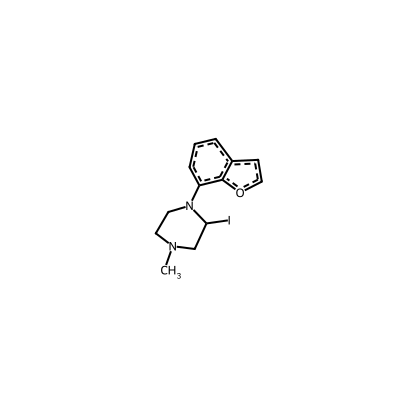 CN1CCN(c2cccc3ccoc23)C(I)C1